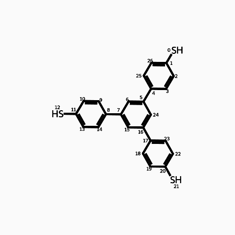 Sc1ccc(-c2cc(-c3ccc(S)cc3)cc(-c3ccc(S)cc3)c2)cc1